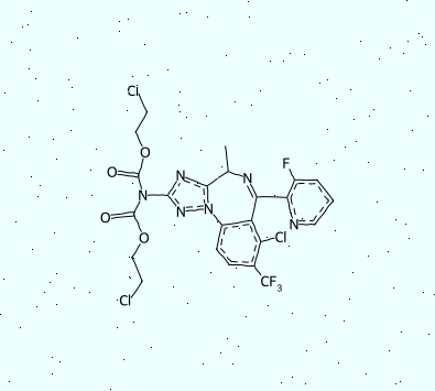 CC1N=C(c2ncccc2F)c2c(ccc(C(F)(F)F)c2Cl)-n2nc(N(C(=O)OCCCl)C(=O)OCCCl)nc21